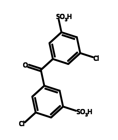 O=C(c1cc(Cl)cc(S(=O)(=O)O)c1)c1cc(Cl)cc(S(=O)(=O)O)c1